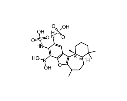 CC1CC[C@@H]2C(C)(C)CCC[C@@]2(C)c2c1oc1c(B(O)O)c(NS(=O)(=O)O)c(NS(=O)(=O)O)cc21